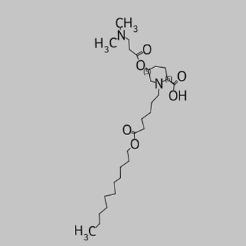 CCCCCCCCCCCOC(=O)CCCCCN1C[C@@H](OC(=O)CCN(C)C)CC[C@H]1C(=O)O